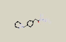 NNC(=O)Cc1ccc(C[n+]2ccccc2)cc1